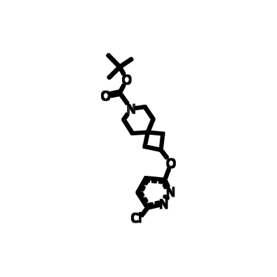 CC(C)(C)OC(=O)N1CCC2(CC1)CC(Oc1ccc(Cl)nn1)C2